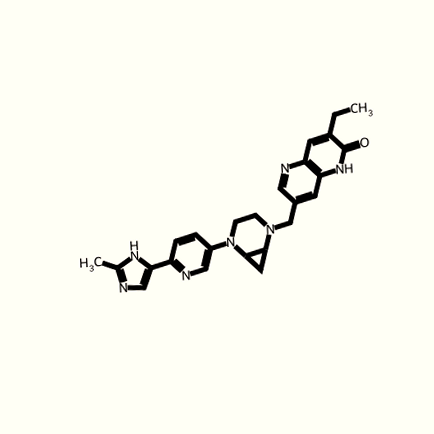 CCc1cc2ncc(CN3CCN(c4ccc(-c5cnc(C)[nH]5)nc4)C4CC43)cc2[nH]c1=O